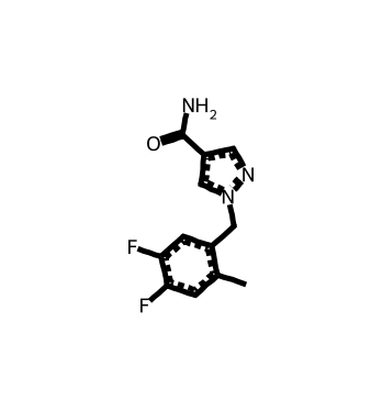 Cc1cc(F)c(F)cc1Cn1cc(C(N)=O)cn1